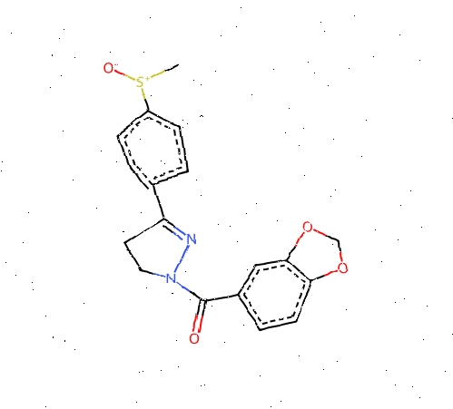 C[S+]([O-])c1ccc(C2=NN(C(=O)c3ccc4c(c3)OCO4)CC2)cc1